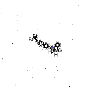 CCN(CC)CCN1CCN(c2ccc(N/C=C3\C(=O)NC(=O)c4ccccc43)cc2)CC1